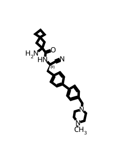 CN1CCN(Cc2ccc(-c3ccc(C[C@H](C#N)NC(=O)C4(N)CC5(CCC5)C4)cc3)cc2)CC1